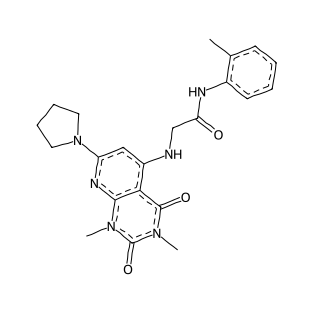 Cc1ccccc1NC(=O)CNc1cc(N2CCCC2)nc2c1c(=O)n(C)c(=O)n2C